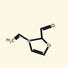 C=CN1C=COC1C=O